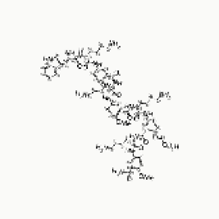 COc1ccc(NC(=O)[C@H](CCCCN)NC(=O)c2cc(NC(=O)[C@H](CCCCN)NC(=O)c3cc(NC(=O)[C@H](CCCCN)NC(=O)c4cc(NC(=O)[C@H](CCCCN)NC(=O)[C@@H](N)Cc5c[nH]c6ccccc56)ccc4OC)ccc3OC)ccc2OCC(=O)O)cc1C(N)=O